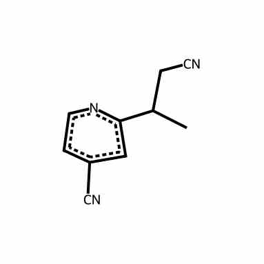 CC(CC#N)c1cc(C#N)ccn1